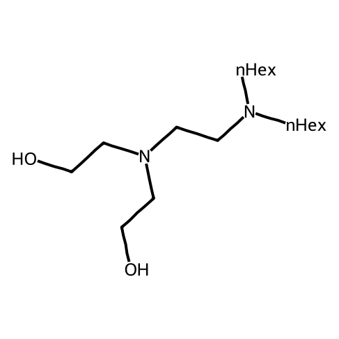 CCCCCCN(CCCCCC)CCN(CCO)CCO